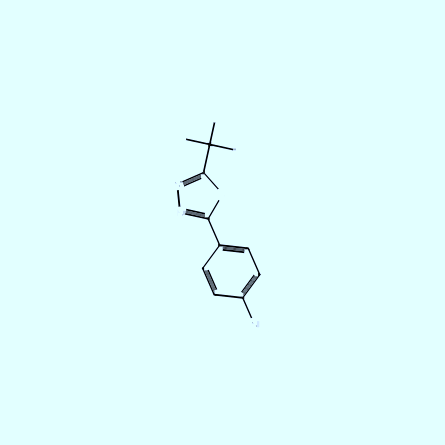 Nc1ccc(-c2nnc(C(F)(F)F)s2)cc1